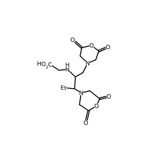 CCC(C(CN1CC(=O)OC(=O)C1)NCC(=O)O)N1CC(=O)OC(=O)C1